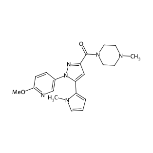 COc1ccc(-n2nc(C(=O)N3CCN(C)CC3)cc2-c2cccn2C)cn1